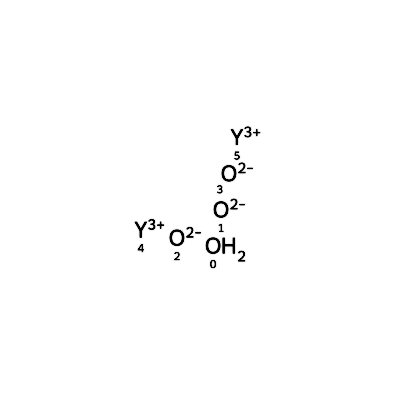 O.[O-2].[O-2].[O-2].[Y+3].[Y+3]